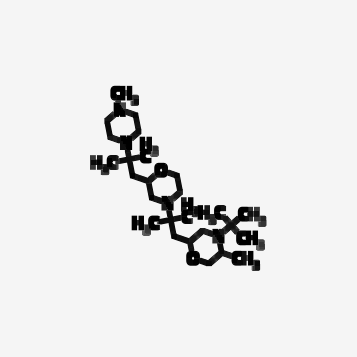 CC1COC(CC(C)(C)N2CCOC(CC(C)(C)N3CCN(C)CC3)C2)CN1C(C)(C)C